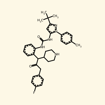 Cc1ccc(-n2nc(C(C)(C)C)cc2NC(=O)Nc2ccccc2C(C(=O)Cc2ccc(F)cc2)C2CCNCC2)cc1